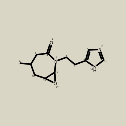 CC1CC(=O)N(CCc2cnc[nH]2)C2OC2C1